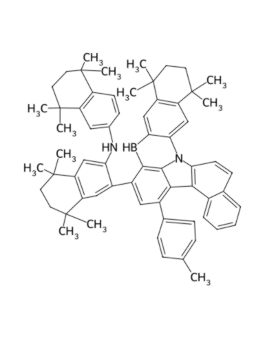 Cc1ccc(-c2cc(-c3cc4c(cc3Nc3ccc5c(c3)C(C)(C)CCC5(C)C)C(C)(C)CCC4(C)C)c3c4c2c2c5ccccc5ccc2n4-c2cc4c(cc2B3)C(C)(C)CCC4(C)C)cc1